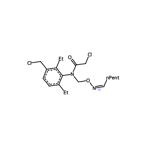 CCCCC/C=N\OCN(C(=O)CCl)c1c(CC)ccc(CCl)c1CC